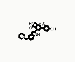 Cc1cc(O)ccc1-c1cc2c(c(-c3cc4cc(CN5CCCCC5)ccc4[nH]3)c1)C(=O)NC2